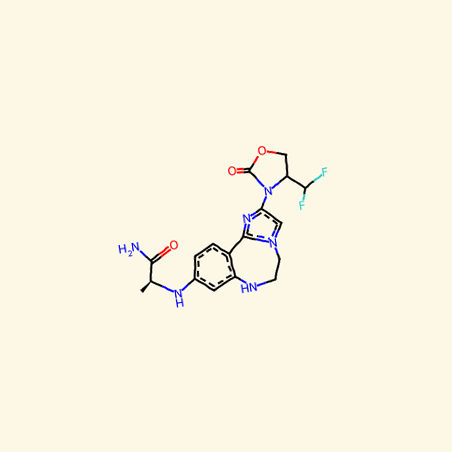 C[C@H](Nc1ccc2c(c1)NCCn1cc(N3C(=O)OCC3C(F)F)nc1-2)C(N)=O